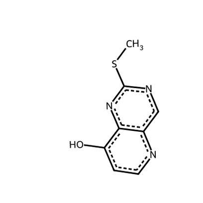 CSc1ncc2nccc(O)c2n1